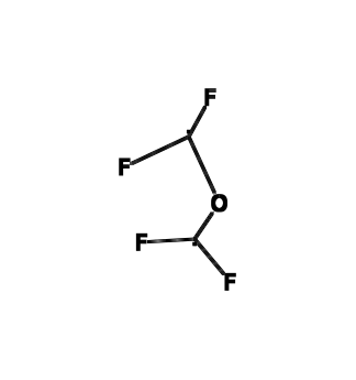 F[C](F)O[C](F)F